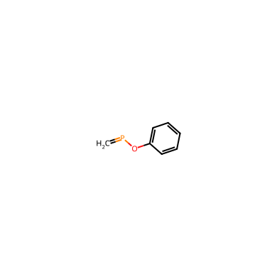 C=POc1ccccc1